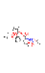 CCC(C)OC(=O)OC(C)CC(c1ccc(OC(=O)C(C)C(C)C)c(OC(=O)C(C)C(C)C)c1)[C@H](N)C(=O)O